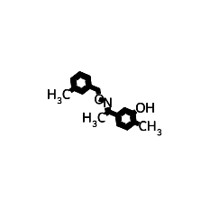 C/C(=N\OCc1cccc(C)c1)c1ccc(C)c(O)c1